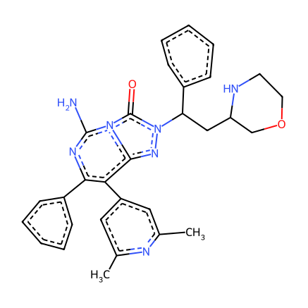 Cc1cc(-c2c(-c3ccccc3)nc(N)n3c(=O)n(C(CC4COCCN4)c4ccccc4)nc23)cc(C)n1